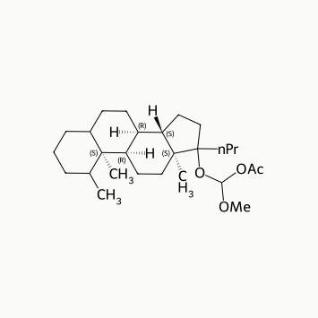 CCCC1(OC(OC)OC(C)=O)CC[C@H]2[C@@H]3CCC4CCCC(C)[C@]4(C)[C@@H]3CC[C@@]21C